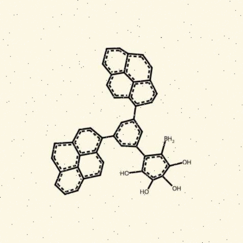 Bc1c(O)c(O)c(O)c(O)c1-c1cc(-c2ccc3ccc4cccc5ccc2c3c45)cc(-c2ccc3ccc4cccc5ccc2c3c45)c1